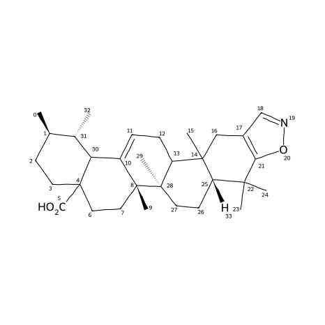 C[C@@H]1CCC2(C(=O)O)CC[C@]3(C)C(=CCC4C5(C)Cc6cnoc6C(C)(C)[C@@H]5CC[C@]43C)C2[C@H]1C